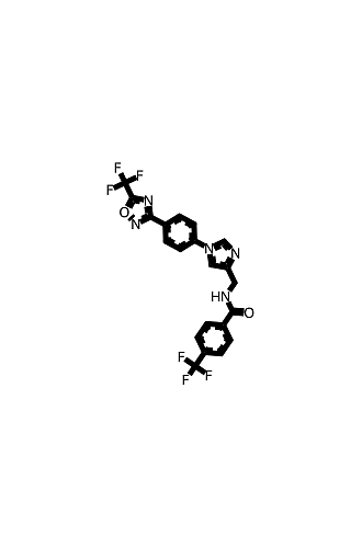 O=C(NCc1cn(-c2ccc(-c3noc(C(F)(F)F)n3)cc2)cn1)c1ccc(C(F)(F)F)cc1